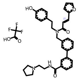 O=C(NCCN1CCCC1)c1cccc(-c2cccc(CN(CCc3ccc(O)cc3)C(=O)/C=C/c3ccco3)c2)c1.O=C(O)C(F)(F)F